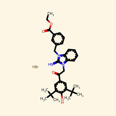 Br.CCOC(=O)c1cccc(Cn2c(=N)n(CC(=O)c3cc(C(C)(C)C)c(O)c(C(C)(C)C)c3)c3ccccc32)c1